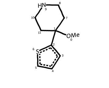 COC1(c2cccs2)CCNCC1